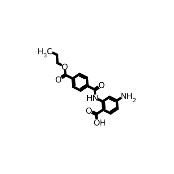 CCCOC(=O)c1ccc(C(=O)Nc2cc(N)ccc2C(=O)O)cc1